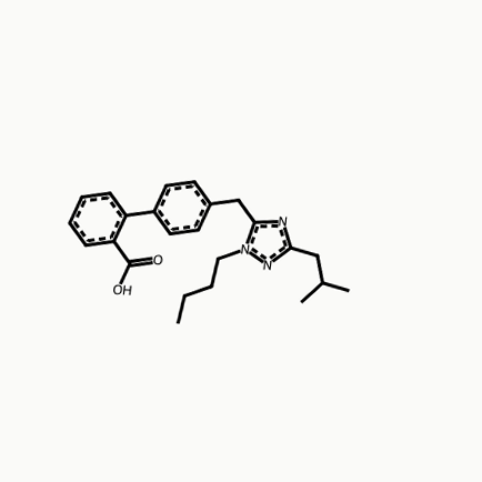 CCCCn1nc(CC(C)C)nc1Cc1ccc(-c2ccccc2C(=O)O)cc1